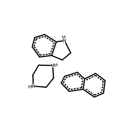 C1CNCCN1.c1ccc2c(c1)CCN2.c1ccc2ccccc2c1